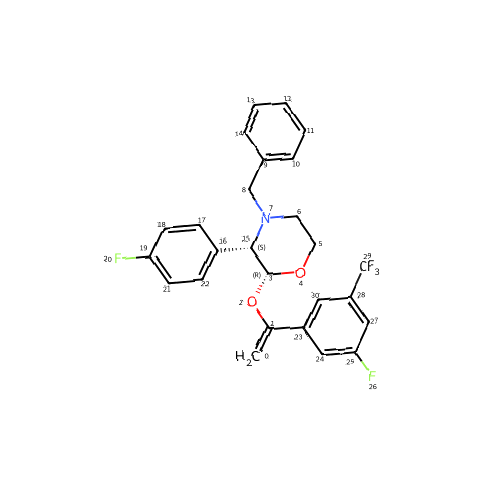 C=C(O[C@H]1OCCN(Cc2ccccc2)[C@H]1c1ccc(F)cc1)c1cc(F)cc(C(F)(F)F)c1